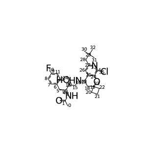 CC(=O)N[C@@H](Cc1ccc(F)cc1)[C@H](O)CN[C@H]1CC2(CCC2)Oc2c1cc(CC(C)(C)C)nc2Cl